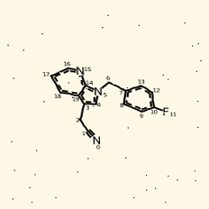 N#CCc1cn(Cc2ccc(F)cc2)c2ncccc12